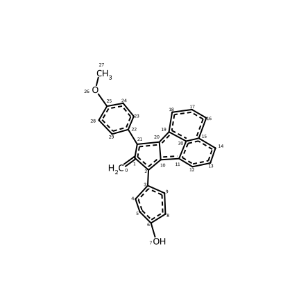 C=c1c(-c2ccc(O)cc2)c2c3cccc4cccc(c-2c1-c1ccc(OC)cc1)c43